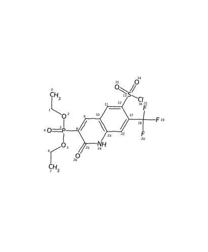 CCOP(=O)(OCC)c1cc2cc(S(=O)(=O)Cl)c(C(F)(F)F)cc2[nH]c1=O